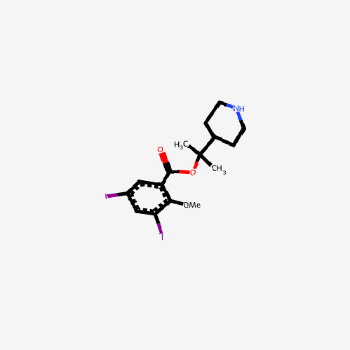 COc1c(I)cc(I)cc1C(=O)OC(C)(C)C1CCNCC1